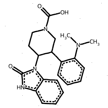 CN(C)c1ccccc1C1CN(C(=O)O)CCC1n1c(=O)[nH]c2ccccc21